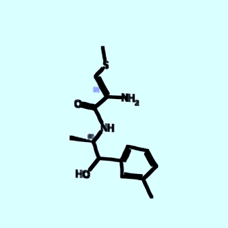 CS/C=C(\N)C(=O)N[C@H](C)C(O)c1cccc(C)c1